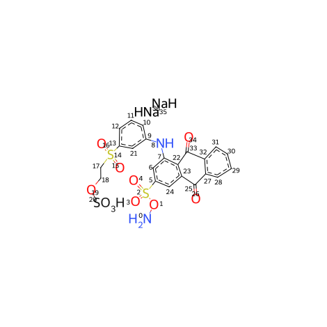 NOS(=O)(=O)c1cc(Nc2cccc(S(=O)(=O)CCOS(=O)(=O)O)c2)c2c(c1)C(=O)c1ccccc1C2=O.[NaH].[NaH]